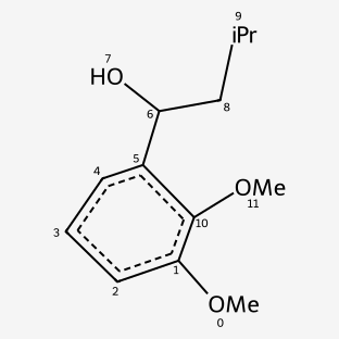 COc1cccc(C(O)CC(C)C)c1OC